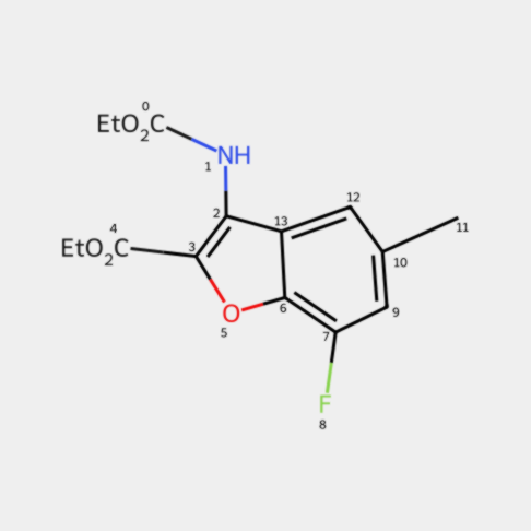 CCOC(=O)Nc1c(C(=O)OCC)oc2c(F)cc(C)cc12